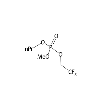 CCCOP(=O)(OC)OCC(F)(F)F